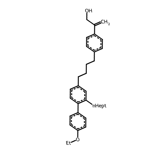 C=C(CO)c1ccc(CCCCc2ccc(-c3ccc(OCC)cc3)c(CCCCCCC)c2)cc1